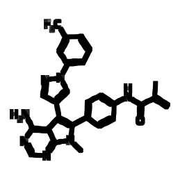 C=C(C)C(=O)Nc1ccc(-c2c(-c3cnn(-c4cccc(C(F)(F)F)c4)c3)c3c(N)ncnc3n2C)cc1